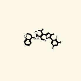 Cc1cc2c(C(C)C)c(C(=O)NC3CCOc4ccccc43)cnn2c1-c1cc(F)cc(F)c1F